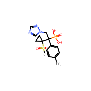 CS(=O)(=O)C1(C(Cn2cncn2)(c2ccc(C(F)(F)F)cc2)P(=O)(O)O)CC1